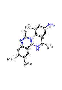 COc1cc2nc(C#N)nc(NC(C)c3cc(N)cc(C(F)(F)F)c3)c2cc1OC